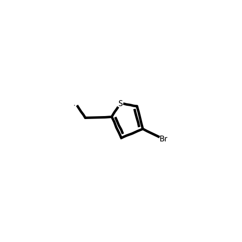 [CH2]Cc1cc(Br)cs1